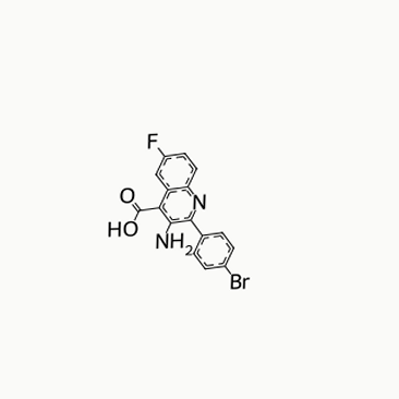 Nc1c(-c2ccc(Br)cc2)nc2ccc(F)cc2c1C(=O)O